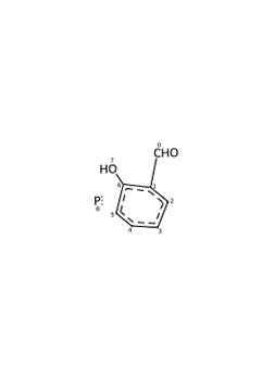 O=Cc1ccccc1O.[P]